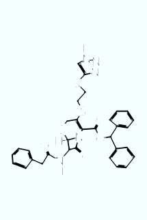 O=C(Cc1ccccc1)NC1C(=O)N2C(C(=O)OC(c3ccccc3)c3ccccc3)=C(SCCSc3c[nH]nn3)CS[C@@H]12